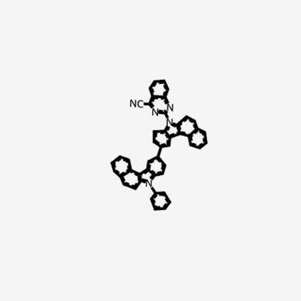 N#Cc1nc(-n2c3ccc(-c4ccc5c(c4)c4c6ccccc6ccc4n5-c4ccccc4)cc3c3c4ccccc4ccc32)nc2ccccc12